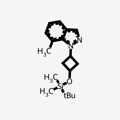 Cc1cccc2cnn(C3CC(O[Si](C)(C)C(C)(C)C)C3)c12